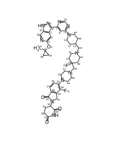 CC1(Oc2cc3c(-c4cc(N5CCC(CN6CCC(F)(CN7CCN(c8ccc9c(c8F)CN(C8CCC(=O)NC8=O)C9=O)CC7)CC6)CC5)ncn4)n[nH]c3cn2)CC1